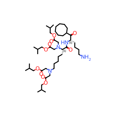 CC(C)COC(=O)CN(CCCCC[C@@H](C(=O)N[C@@H](CCCCN)C(=O)C1CCCCCCC1)N(CC(=O)OCC(C)C)CC(=O)OCC(C)C)CC(=O)OCC(C)C